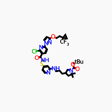 CC(C)(C)OC(=O)N1CC(CCCNc2cc(SNC(=O)c3ccc(-n4ccc(OCCC5(C(F)(F)F)CC5)n4)nc3Cl)ccn2)CC1(C)C